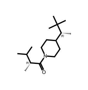 CC(C)[C@@H](C)C(=O)N1CCC([C@@H](C)C(C)(C)C)CC1